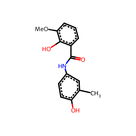 COc1c[c]cc(C(=O)Nc2ccc(O)c(C)c2)c1O